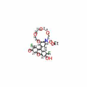 CCOOCN1CCOCCOCCOCCOc2cc(-c3c4cc(F)c(=O)cc-4oc4cc(O)c(F)cc34)ccc21